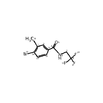 Cc1cc(C(=O)NCC(F)(F)F)ccc1Br